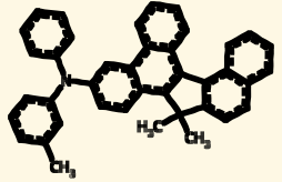 Cc1cccc(N(c2ccccc2)c2ccc3c4c(c5ccccc5c3c2)-c2c(ccc3ccccc23)C4(C)C)c1